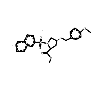 COC(=O)C1C[C@@H](SCc2ccc(OC)cc2)CN1S(=O)(=O)c1ccc2ccccc2c1